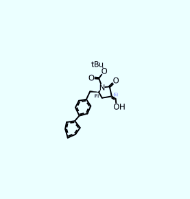 CC(C)(C)OC(=O)N1C(=O)/C(=C/O)C[C@H]1Cc1ccc(-c2ccccc2)cc1